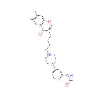 CC(=O)Nc1cccc(N2CCN(CCCCc3coc4cc(C)c(C)cc4c3=O)CC2)c1